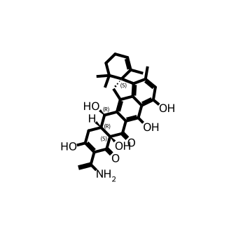 C=C(N)C1=C(O)C[C@@H]2[C@@H](O)c3c(c(O)c4c(O)cc(C)c5c4c3C[C@]53C(C)=CCCC3(C)C)C(=O)[C@]2(O)C1=O